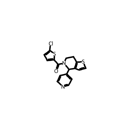 O=C(c1ccc(Cl)s1)N1CCc2sccc2C1c1ccncc1